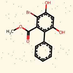 COC(=O)c1c(Br)c(O)cc(O)c1-c1ccccc1